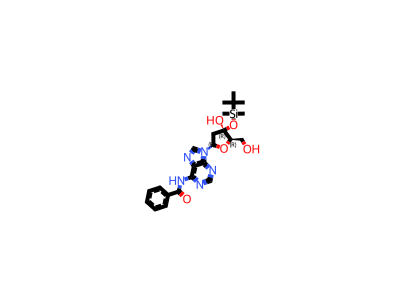 CC(C)(C)[Si](C)(C)O[C@]1(O)C[C@H](n2cnc3c(NC(=O)c4ccccc4)ncnc32)O[C@@H]1CO